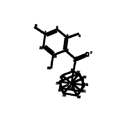 Cc1cc(C)c(C(=O)[C]23[CH]4[CH]5[CH]6[CH]2[Fe]56432789[CH]3[CH]2[CH]7[CH]8[CH]39)c(C)c1